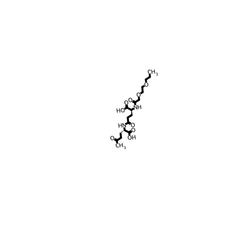 CCCOCCOCC(=O)N[C@@H](CCC(=O)N[C@@H](CCC(C)=O)C(=O)O)C(=O)O